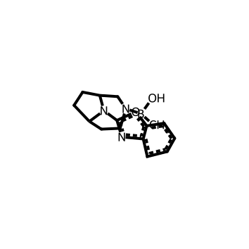 CB(O)N1CCC2CCC(C1)N2c1nc2ccccc2o1